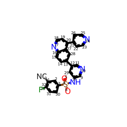 N#Cc1cc(S(=O)(=O)Nc2cncc(-c3ccc4nccc(-c5ccncc5)c4c3)c2)ccc1F